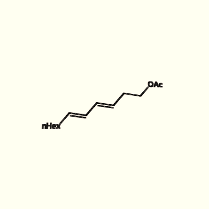 CCCCCCC=CC=CCCOC(C)=O